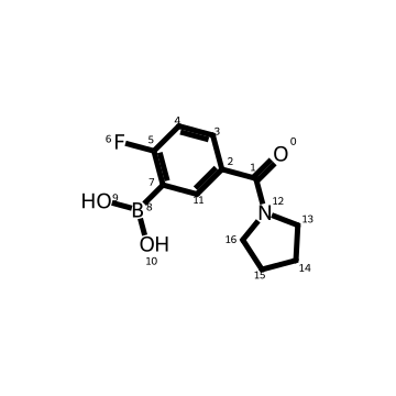 O=C(c1ccc(F)c(B(O)O)c1)N1CCCC1